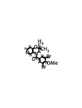 COc1c(Br)cc(C(=O)N2CC(C)(C)Oc3ccncc32)cc1Br